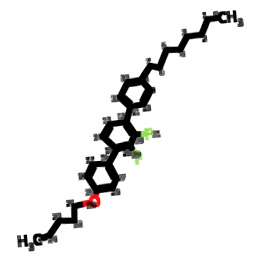 CCCCCCCCc1ccc(-c2ccc(-c3ccc(OCCCCC)cc3)c(F)c2F)cc1